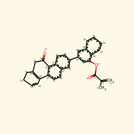 C=C(C)C(=O)Oc1cc(-c2ccc3c4c(ccc3c2)C2=C(CCC=C2)CC4=O)cc2ccccc12